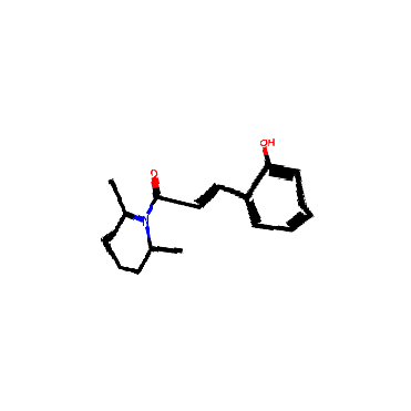 CC1CCCC(C)N1C(=O)/C=C/c1ccccc1O